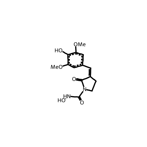 COc1cc(/C=C2/CCN(C(=O)NO)C2=O)cc(OC)c1O